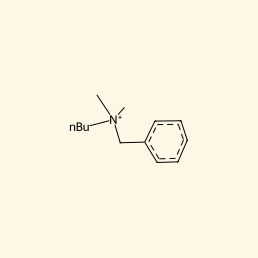 CCCC[N+](C)(C)Cc1ccccc1